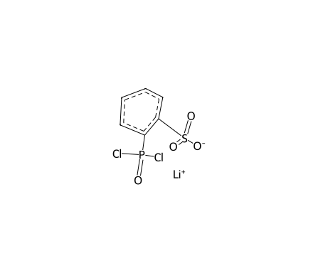 O=P(Cl)(Cl)c1ccccc1S(=O)(=O)[O-].[Li+]